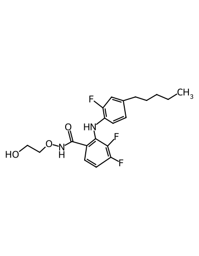 CCCCCc1ccc(Nc2c(C(=O)NOCCO)ccc(F)c2F)c(F)c1